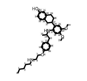 CCCCCNCCOc1ccc(CC(C)Nc2cc(OC)c(OC)cc2C2CCc3cc(O)ccc3C2)cc1